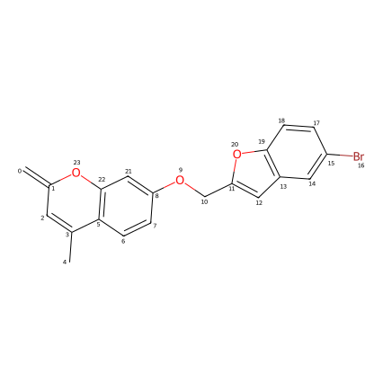 C=C1C=C(C)c2ccc(OCc3cc4cc(Br)ccc4o3)cc2O1